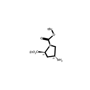 CCOC(=O)[C@@H]1C[C@@H](N)CN1C(=O)OC(C)(C)C